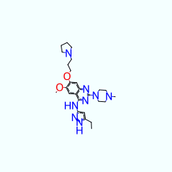 CCc1cc(Nc2nc(N3CCN(C)CC3)nc3cc(OCCCN4CCCC4)c(OC)cc23)n[nH]1